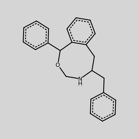 c1ccc(CC2Cc3ccccc3C(c3ccccc3)OCN2)cc1